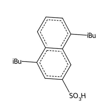 CCC(C)c1cc(S(=O)(=O)O)cc2c(C(C)CC)cccc12